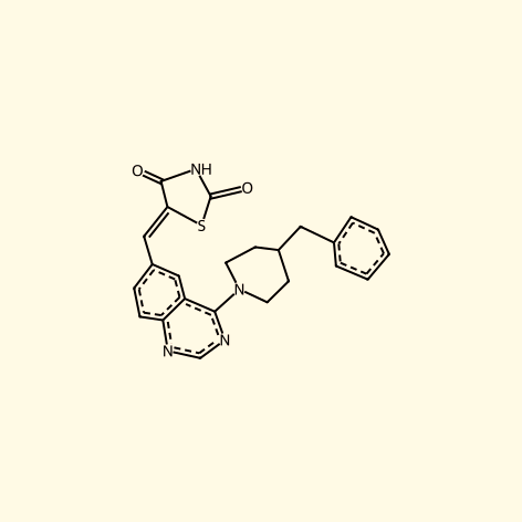 O=C1NC(=O)C(=Cc2ccc3ncnc(N4CCC(Cc5ccccc5)CC4)c3c2)S1